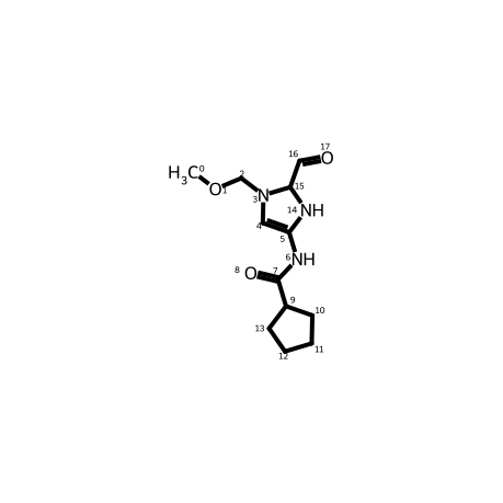 COCN1C=C(NC(=O)C2CCCC2)NC1C=O